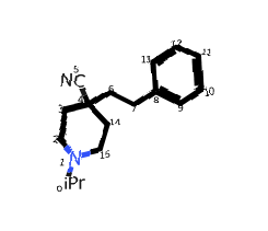 CC(C)N1CCC(C#N)(CCc2ccccc2)CC1